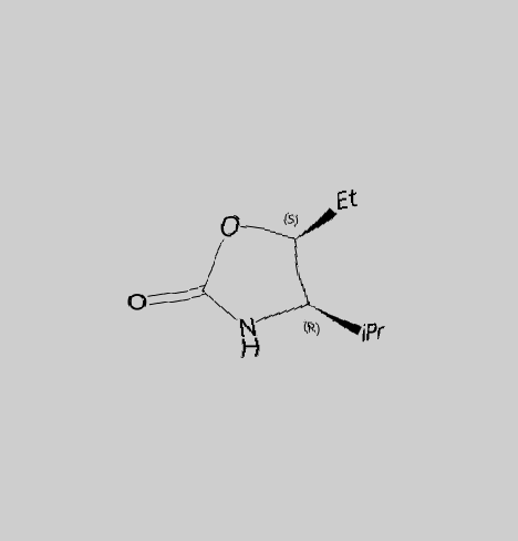 CC[C@@H]1OC(=O)N[C@@H]1C(C)C